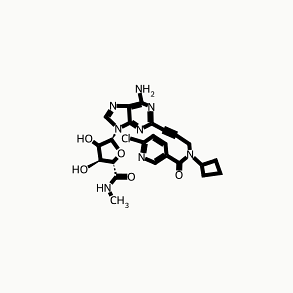 CNC(=O)[C@H]1O[C@@H](n2cnc3c(N)nc(C#CCN(C(=O)c4ccc(Cl)nc4)C4CCC4)nc32)C(O)[C@@H]1O